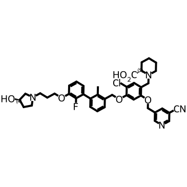 Cc1c(COc2cc(OCc3cncc(C#N)c3)c(CN3CCCC[C@H]3C(=O)O)cc2Cl)cccc1-c1cccc(OCCCN2CC[C@@H](O)C2)c1F